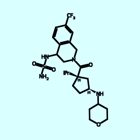 CC(C)[C@]1(C(=O)N2Cc3cc(C(F)(F)F)ccc3C(NS(N)(=O)=O)C2)CC[C@@H](NC2CCOCC2)C1